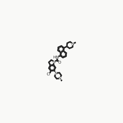 CN1CCC(c2cccc3c(NC(=O)N4CCc5cc(Cl)c(N6CCN(C)CC6)cc54)cccc23)CC1